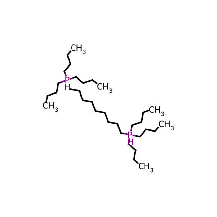 CCCC[PH](CCCC)(CCCC)CCCCCCCCC[PH](CCCC)(CCCC)CCCC